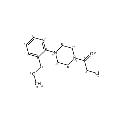 COCc1cccnc1N1CCN(C(=O)CCl)CC1